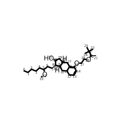 CCCCCC(CC[C@@H]1[C@H]2CC3CC=CC(OCCO[C@H](C)C(C)(C)C)=C3C[C@H]2C[C@H]1O)OC